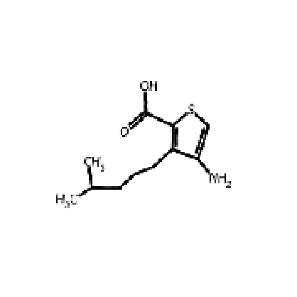 CC(C)CCCc1c(N)csc1C(=O)O